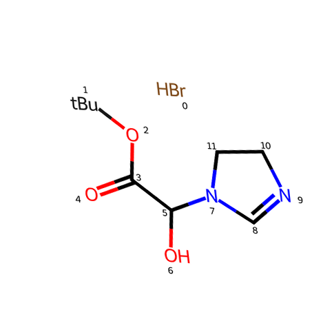 Br.CC(C)(C)OC(=O)C(O)N1C=NCC1